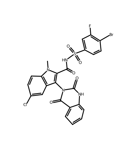 Cn1c(C(=O)NS(=O)(=O)c2ccc(Br)c(F)c2)c(-n2c(=O)[nH]c3ccccc3c2=O)c2cc(Cl)ccc21